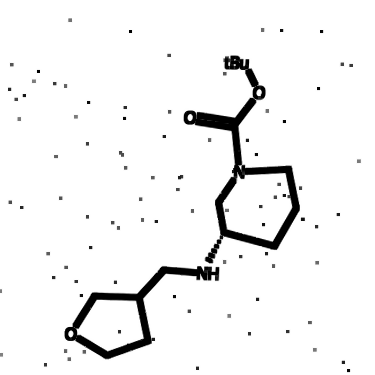 CC(C)(C)OC(=O)N1CCC[C@H](NCC2CCOC2)C1